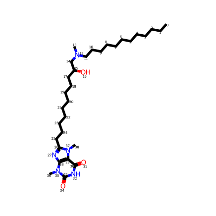 CCCCCCCCCCCCN(C)CC(O)CCCCCCCCCc1nc2c(c(=O)[nH]c(=O)n2C)n1C